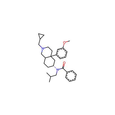 COc1cccc(C23CCN(CC4CC4)CC2CC[C@@H](N(CC(C)C)C(=O)c2ccccc2)C3)c1